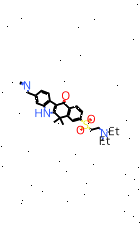 C=NCc1ccc2c3c([nH]c2c1)C(C)(C)c1cc(S(=O)(=O)CCN(CC)CC)ccc1C3=O